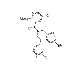 CNc1ncc(Cl)cc1C(=O)N(CCc1ccc(Cl)c(Cl)c1)Cc1ccc(C(C)(C)C)cn1